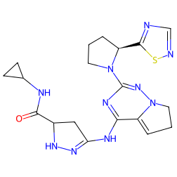 O=C(NC1CC1)C1CC(NC2=NC(N3CCC[C@H]3c3ncns3)=NN3CCC=C23)=NN1